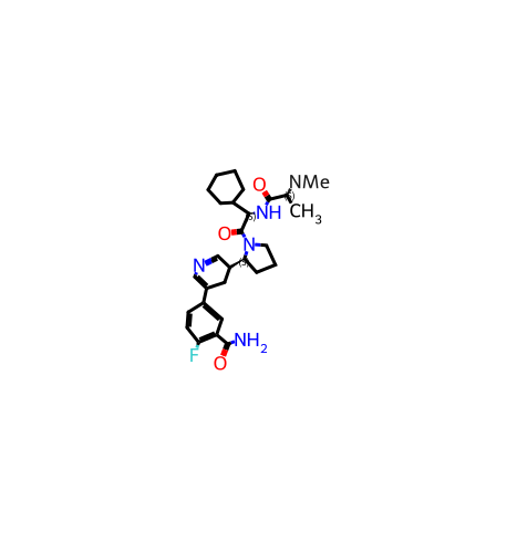 CN[C@@H](C)C(=O)N[C@H](C(=O)N1CCC[C@H]1C1C=NC=C(c2ccc(F)c(C(N)=O)c2)C1)C1CCCCC1